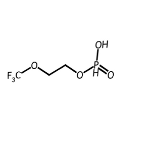 O=[PH](O)OCCOC(F)(F)F